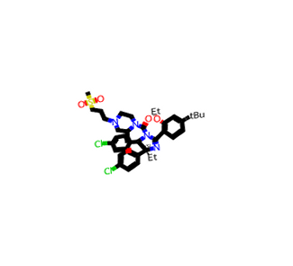 CCOc1cc(C(C)(C)C)ccc1C1=N[C@@](CC)(c2ccc(Cl)cc2)C(c2ccc(Cl)cc2)N1C(=O)N1CCN(CCCS(C)(=O)=O)CC1C